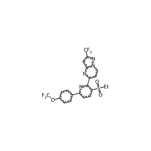 CCS(=O)(=O)c1ccc(-c2ccc(OC(F)(F)F)cc2)nc1-c1ccn2nc(C(F)(F)F)cc2n1